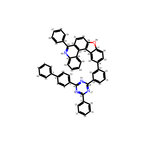 c1ccc(-c2ccc(-c3nc(-c4ccccc4)nc(-c4cccc(-c5ccc6oc7ccc8c(-c9ccccc9)nc9ccccc9c8c7c6c5)c4)n3)cc2)cc1